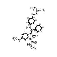 CCc1ccc2c(c1)N(C(=O)NC)C(=O)C2=C(Nc1ccc(CCN(C)C)cc1)c1ccccc1